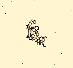 C=CCNC(=O)C(=O)C(CCCC)NC(=O)[C@@H]1[C@H]2CCC3(CC3)[C@H]2CN1C(=O)[C@@H](NC(=O)N[C@H](CN(C)[S+](C)[O-])C(C)(C)C)C1(C)CCCCC1